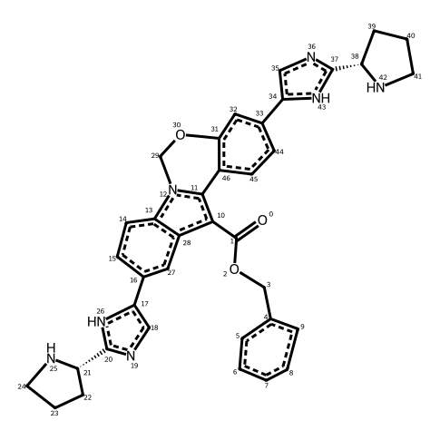 O=C(OCc1ccccc1)c1c2n(c3ccc(-c4cnc([C@@H]5CCCN5)[nH]4)cc13)COc1cc(-c3cnc([C@@H]4CCCN4)[nH]3)ccc1-2